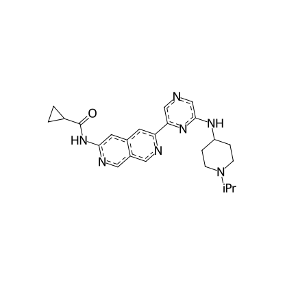 CC(C)N1CCC(Nc2cncc(-c3cc4cc(NC(=O)C5CC5)ncc4cn3)n2)CC1